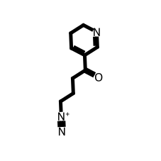 N#[N+]CCCC(=O)C1=CCCN=C1